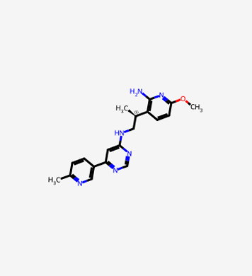 COc1ccc([C@H](C)CNc2cc(-c3ccc(C)nc3)ncn2)c(N)n1